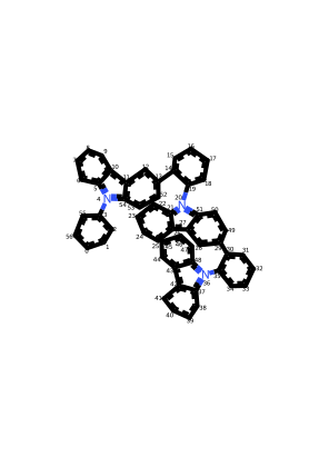 c1ccc(-n2c3ccccc3c3cc(-c4ccccc4-n4c5ccccc5c5cc(-c6ccccc6-n6c7ccccc7c7ccccc76)ccc54)ccc32)cc1